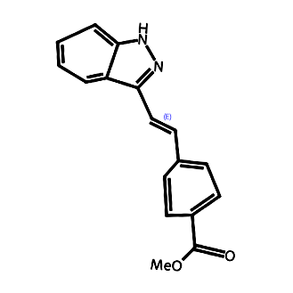 COC(=O)c1ccc(/C=C/c2n[nH]c3ccccc23)cc1